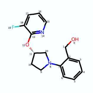 OCc1c[c]ccc1N1CC[C@H](Oc2ncccc2F)C1